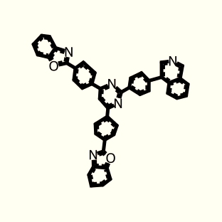 c1ccc2c(-c3ccc(-c4nc(-c5ccc(-c6nc7ccccc7o6)cc5)cc(-c5ccc(-c6nc7ccccc7o6)cc5)n4)cc3)cncc2c1